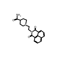 NC(=O)C1CCN(CCN2C(=O)c3cccc4cccc(c34)C2=O)CC1